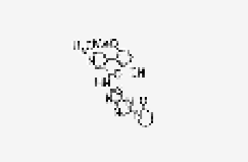 COc1ccc(C#N)cc1-c1cc(C)ncc1C(=O)Nc1nc2ncc(N3CCCCC3=O)nc2s1